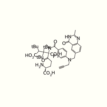 C#CCN(Cc1ccc2nc(C)[nH]c(=O)c2c1)c1ccc(C(=O)N(C)[C@@](C(=O)O)(C(=O)CC[C@H](N)C(=O)O)C(C(C(=O)O)C(C)(C)C)(C(C)(C)C)C(C)(C)C)c(F)c1